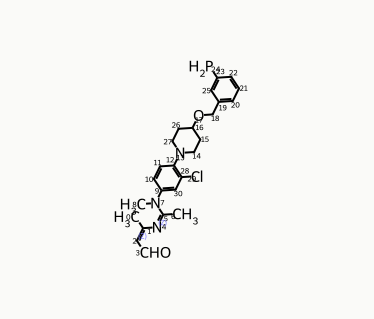 CC(=C/C=O)/N=C(/C)N(C)c1ccc(N2CCC(OCc3cccc(P)c3)CC2)c(Cl)c1